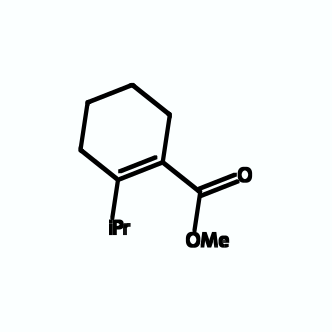 COC(=O)C1=C(C(C)C)CCCC1